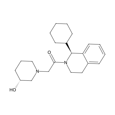 O=C(CN1CCC[C@@H](O)C1)N1CCc2ccccc2[C@@H]1C1CCCCC1